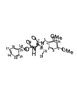 COc1ccc(CN2C(=O)[C@H](NC(=O)OCc3ccccc3)[C@H]2CI)c(OC)c1